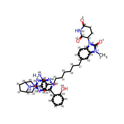 Cn1c(=O)n(C2CCC(=O)NC2=O)c2ccc(CCCCCCCc3cnc(N4C5CCC4CN(c4cc(-c6ccccc6O)nnc4N)C5)nc3)cc21